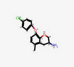 Cc1ccc(Oc2ccc(Cl)cc2)c2c1CC(N)CO2